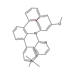 COc1cccc(N(c2cc(C(C)(C)C)ccn2)c2c(-c3ccccc3)cccc2-c2ccccc2)c1